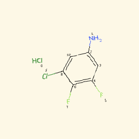 Cl.Nc1cc(F)c(F)c(Cl)c1